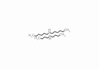 CCCCCCNCCCCCC.CCCCNCCCC